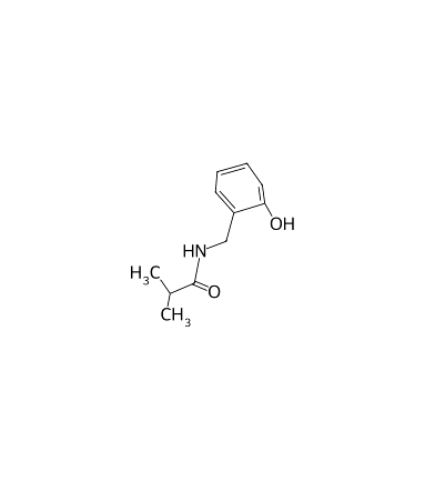 CC(C)C(=O)NCc1ccccc1O